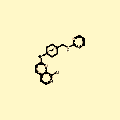 Clc1nccc2ccc(NC34CCC(CNc5ncccn5)(CC3)CC4)nc12